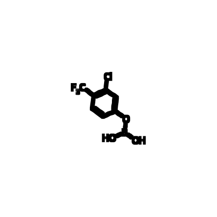 OB(O)Oc1ccc(C(F)(F)F)c(Cl)c1